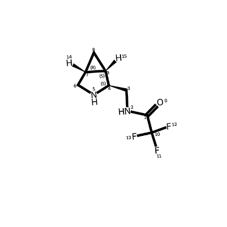 O=C(NC[C@H]1NC[C@@H]2C[C@@H]21)C(F)(F)F